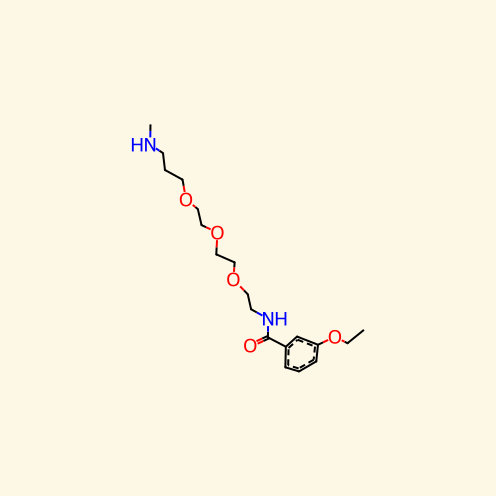 CCOc1cccc(C(=O)NCCOCCOCCOCCCNC)c1